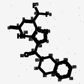 C=C1C=C(C(F)F)n2ncc(C(=O)N3CCc4ccccc4C3)c2N1